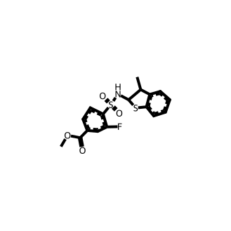 COC(=O)c1ccc(S(=O)(=O)NC2Sc3ccccc3C2C)c(F)c1